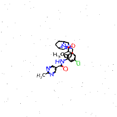 Cc1ncc(C(=O)Nc2cc(Cl)cc(CN3CC4CCC(C3)N4C(=O)C3CCCC3)c2C)cn1